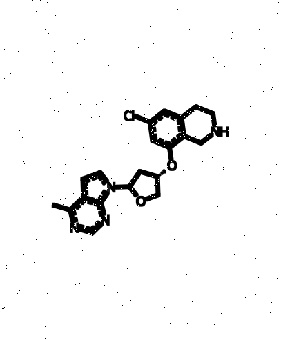 Cc1ncnc2c1ccn2C1C[C@H](Oc2cc(Cl)cc3c2CNCC3)CO1